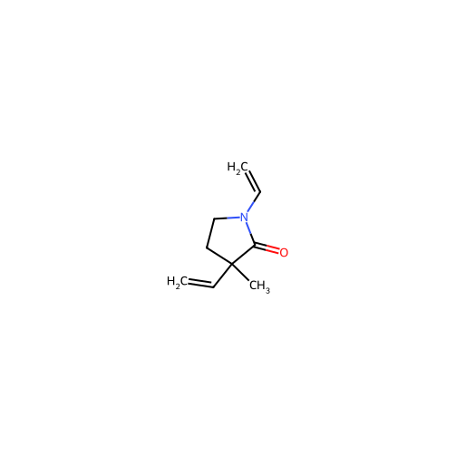 C=CN1CCC(C)(C=C)C1=O